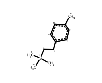 Cc1ccc(CC[Si](C)(C)C)cc1